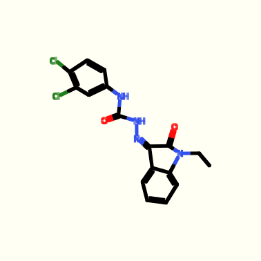 CCN1C(=O)C(=NNC(=O)Nc2ccc(Cl)c(Cl)c2)c2ccccc21